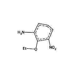 CCOc1c(N)cccc1[N+](=O)[O-]